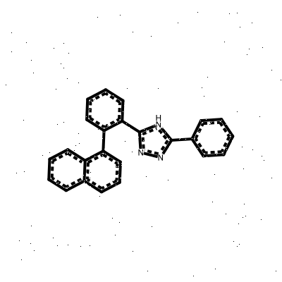 c1ccc(-c2nnc(-c3ccccc3-c3cccc4ccccc34)[nH]2)cc1